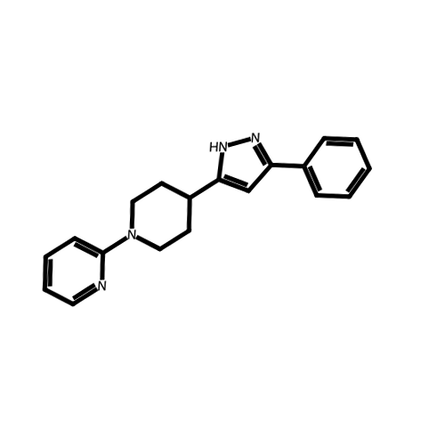 c1ccc(-c2cc(C3CCN(c4ccccn4)CC3)[nH]n2)cc1